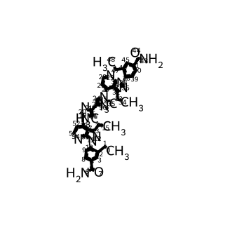 CCc1cc(C(N)=O)ccc1-n1nc(C(C)C)c2c(-n3cnc(-c4cn(-c5ccnc6c5c(C(C)C)nn6-c5ccc(C(N)=O)cc5CC)cn4)c3)ccnc21